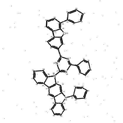 c1ccc(-c2nc(-c3ccc4c(c3)oc3c(-c5ccccc5)cccc34)nc(-n3c4ccccc4c4cc5c6ccccc6n(-c6ccccc6)c5cc43)n2)cc1